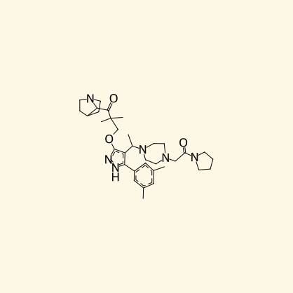 Cc1cc(C)cc(-c2[nH]nc(OCC(C)(C)C(=O)C3C4CCN3CC4)c2C(C)N2CCN(CC(=O)N3CCCC3)CC2)c1